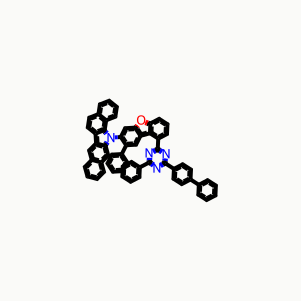 c1ccc(-c2ccc(-c3nc(-c4ccccc4)nc(-c4cccc5oc6cc(-n7c8cc9ccccc9cc8c8ccc9ccccc9c87)c(-c7ccccc7)cc6c45)n3)cc2)cc1